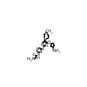 CN1CCN(c2cnc(Sc3cncc(NC(=O)CN)n3)nc2OC2CCC(N)C2)CC1